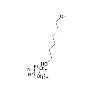 CCO.CCO.CCO.N.OCCCCCCO